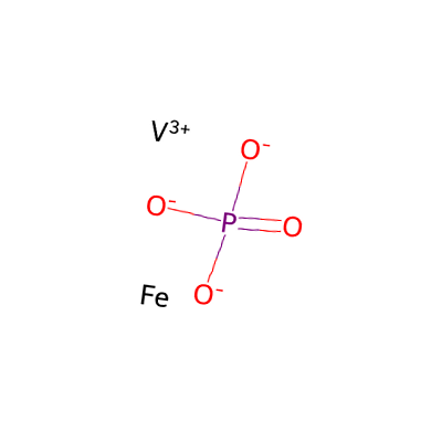 O=P([O-])([O-])[O-].[Fe].[V+3]